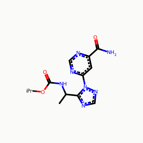 CC(C)OC(=O)NC(C)c1ncnn1-c1cc(C(N)=O)ncn1